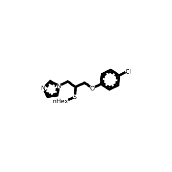 CCCCCCSC(COc1ccc(Cl)cc1)Cn1ccnc1